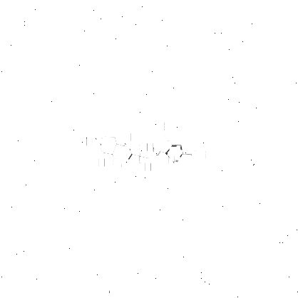 Cc1cnc(OCC(C)(C)C(=O)NC2CCNCC2C)c(C)c1